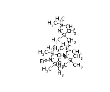 C[Si](C)(C)[N-][Si](C)(C)C.C[Si](C)(C)[N-][Si](C)(C)C.C[Si](C)(C)[N-][Si](C)(C)C.[Er+3]